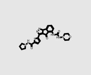 O=C(Nc1cccc2c1C(=O)C1=C(c3ccc(C(=O)NN4CCCC4)s3)N=NC12)NN1CCOCC1